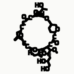 C=C1CC2CCC(=O)CC3OC(C(C)O)C(OC4CCC(CC(=O)CC5C(OC)[C@@H](CC(O)CO)O[C@H]5C5O[C@H](CCC5=C)CCC1O2)OC4)C3O